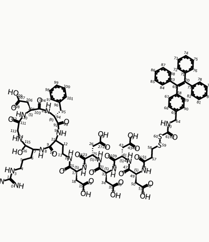 N=C(N)NCCCC1NC(=O)C(CCNC(=O)[C@H](CC(=O)O)NC(=O)[C@H](CC(=O)O)NC(=O)[C@H](CC(=O)O)NC(=O)[C@H](CC(=O)O)NC(=O)[C@H](CC(=O)O)NC(=O)CCSSC(=O)NCc2ccc(C(=C(c3ccccc3)c3ccccc3)c3ccccc3)cc2)NC(=O)[C@@H](Cc2ccccc2)NC(=O)[C@H](CC(=O)O)NC(=O)CNC1O